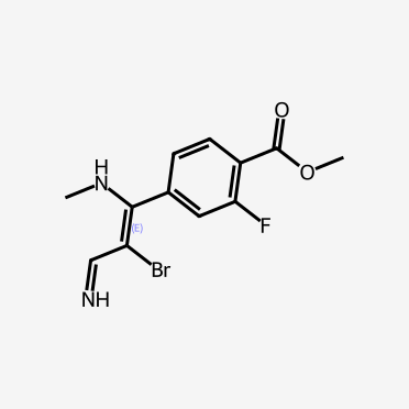 CN/C(=C(/Br)C=N)c1ccc(C(=O)OC)c(F)c1